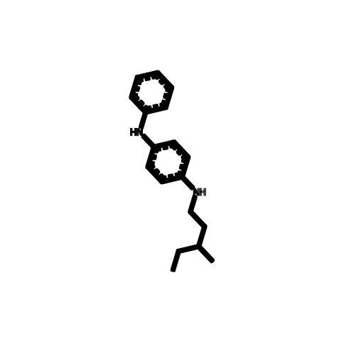 CCC(C)CCNc1ccc(Nc2ccccc2)cc1